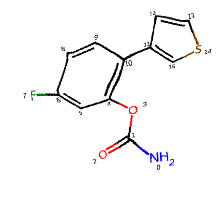 NC(=O)Oc1cc(F)ccc1-c1ccsc1